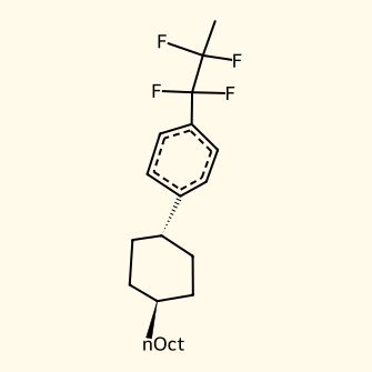 CCCCCCCC[C@H]1CC[C@H](c2ccc(C(F)(F)C(C)(F)F)cc2)CC1